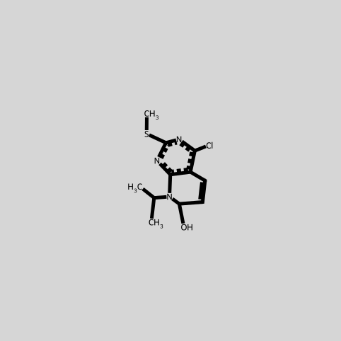 CSc1nc(Cl)c2c(n1)N(C(C)C)C(O)C=C2